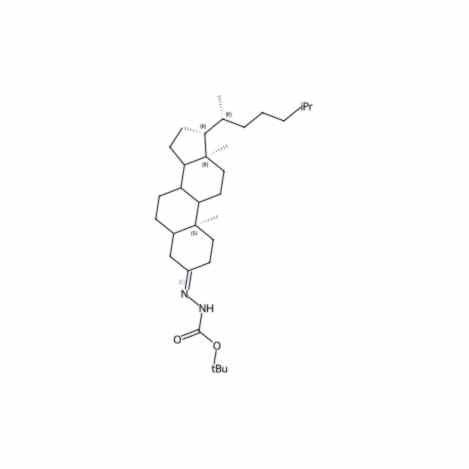 CC(C)CCC[C@@H](C)[C@H]1CCC2C3CCC4C/C(=N/NC(=O)OC(C)(C)C)CC[C@]4(C)C3CC[C@@]21C